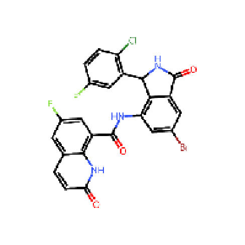 O=C1NC(c2cc(F)ccc2Cl)c2c(NC(=O)c3cc(F)cc4ccc(=O)[nH]c34)cc(Br)cc21